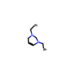 CC(C)CN1C=CCN(CC(C)C)C1